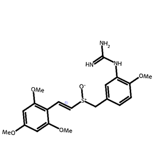 COc1cc(OC)c(/C=C/[S+]([O-])Cc2ccc(OC)c(NC(=N)N)c2)c(OC)c1